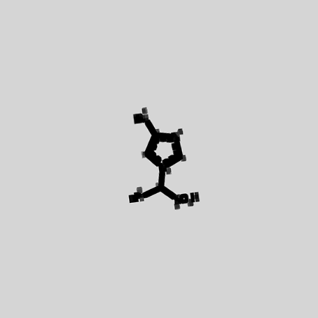 CCCC(n1cnc(C(C)CC)c1)S(=O)(=O)O